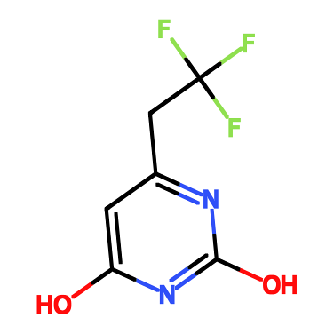 Oc1cc(CC(F)(F)F)nc(O)n1